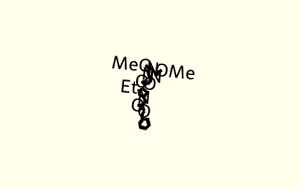 CC[C@@H]1CN(CC(=O)OCc2ccccc2)C[C@@H]1C(=O)Oc1nc(OC)nc(OC)n1